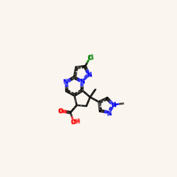 Cn1cc(C2(C)CC(C(=O)O)c3cnc4cc(Cl)nn4c32)cn1